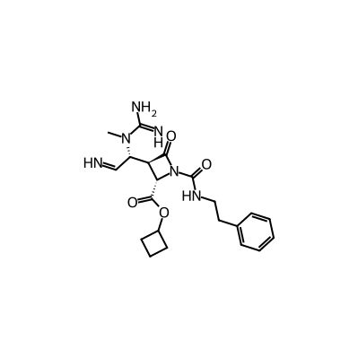 CN(C(=N)N)[C@@H](C=N)[C@H]1C(=O)N(C(=O)NCCc2ccccc2)[C@@H]1C(=O)OC1CCC1